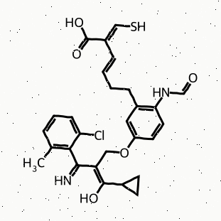 Cc1cccc(Cl)c1C(=N)/C(COc1ccc(NC=O)c(CC/C=C/C(=C\S)C(=O)O)c1)=C(\O)C1CC1